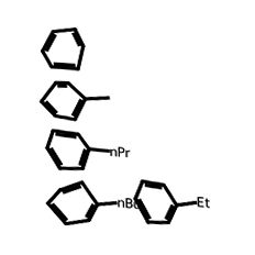 CCCCc1ccccc1.CCCc1ccccc1.CCc1ccccc1.Cc1ccccc1.c1ccccc1